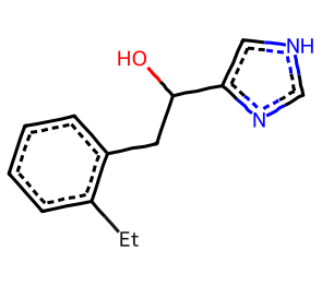 CCc1ccccc1CC(O)c1c[nH]cn1